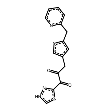 O=C(Cc1csc(Cc2ccccn2)c1)C(=O)c1nc[nH]n1